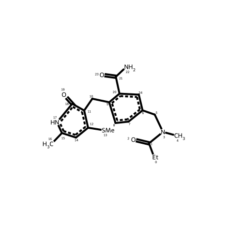 CCC(=O)N(C)Cc1ccc(Cc2c(SC)cc(C)[nH]c2=O)c(C(N)=O)c1